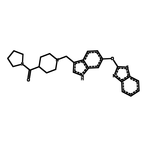 O=C(C1CCN(Cc2c[nH]c3cc(Oc4nc5ccccc5s4)ccc23)CC1)N1CCCC1